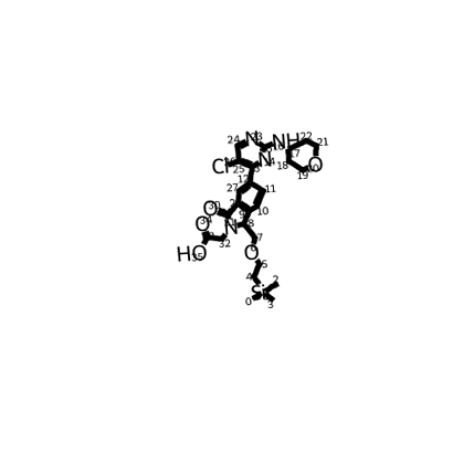 C[Si](C)(C)CCOCC1c2ccc(-c3nc(NC4CCOCC4)ncc3Cl)cc2C(=O)N1CC(=O)O